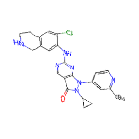 CC(C)(C)c1cc(-n2c3nc(Nc4cc5c(cc4Cl)CCNC5)ncc3c(=O)n2C2CC2)ccn1